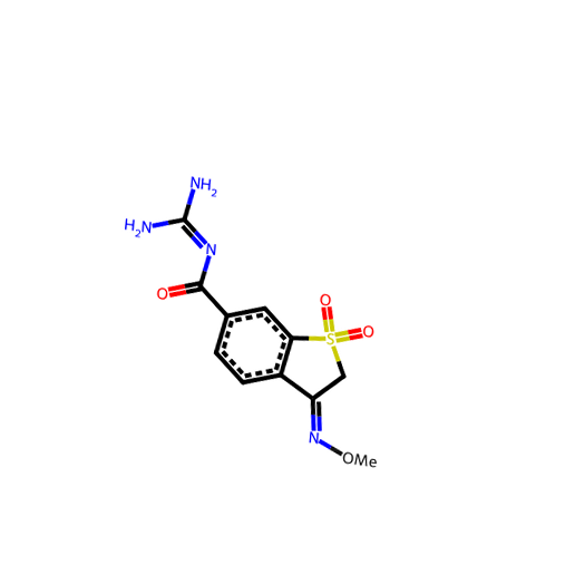 CON=C1CS(=O)(=O)c2cc(C(=O)N=C(N)N)ccc21